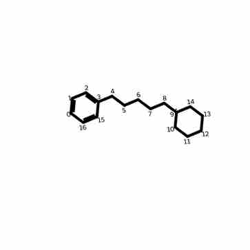 c1ccc(CCCCC[C]2CCCCC2)cc1